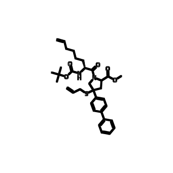 C=CCCCC[C@H](NC(=O)OC(C)(C)C)C(=O)N1CC(SCC=C)(c2ccc(-c3ccccc3)cc2)CC1C(=O)OC